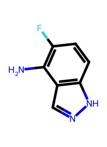 Nc1c(F)ccc2[nH]ncc12